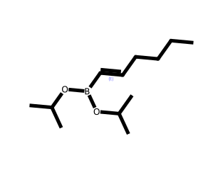 CCCC/C=C/B(OC(C)C)OC(C)C